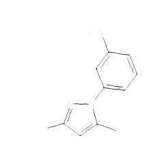 CCOC(=O)c1cc(C)n(-c2cccc(N)c2)n1